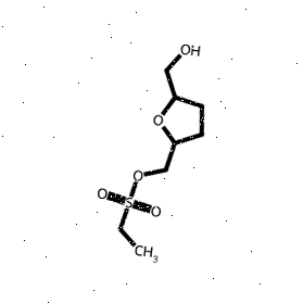 CCS(=O)(=O)OCC1CCC(CO)O1